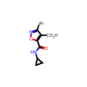 CC(C)c1noc(C(=O)NC2CC2)c1C(=O)O